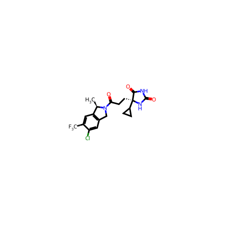 C[C@@H]1c2cc(C(F)(F)F)c(Cl)cc2CN1C(=O)CC[C@@]1(C2CC2)NC(=O)NC1=O